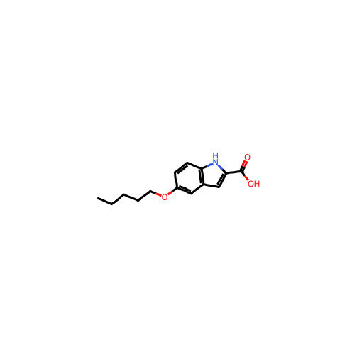 CCCCCOc1ccc2[nH]c(C(=O)O)cc2c1